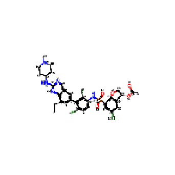 CCc1cc(-c2c(F)ccc(NS(=O)(=O)c3cc(Cl)cc4c3OCC4OC(C)=O)c2F)cc2cnc(NC3CCN(C)CC3)nc12